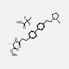 C[C@H](NC(=O)CCc1ccc(-c2ccc(CCN3CCC[C@H]3C)cc2)cc1)C(=O)OC(C)(C)C.O=C(O)C(F)(F)F